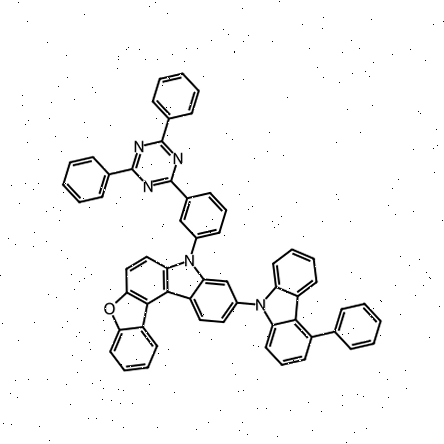 c1ccc(-c2nc(-c3ccccc3)nc(-c3cccc(-n4c5cc(-n6c7ccccc7c7c(-c8ccccc8)cccc76)ccc5c5c6c(ccc54)oc4ccccc46)c3)n2)cc1